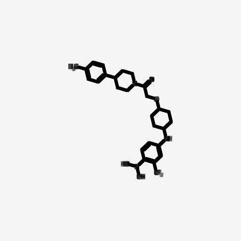 Cc1ccc(C2CCN(C(=O)COC3CCC(Nc4ccc(N(O)O)c(C(F)(F)F)c4)CC3)CC2)cc1